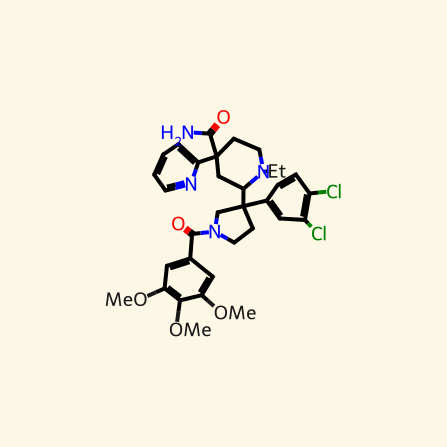 CCN1CCC(C(N)=O)(c2ccccn2)CC1C1(c2ccc(Cl)c(Cl)c2)CCN(C(=O)c2cc(OC)c(OC)c(OC)c2)C1